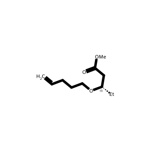 C=CCCCO[C@@H](CC)CC(=O)OC